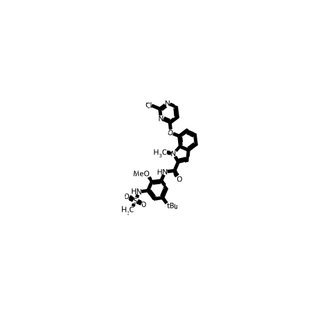 COc1c(NC(=O)c2cc3cccc(Oc4ccnc(Cl)n4)c3n2C)cc(C(C)(C)C)cc1NS(C)(=O)=O